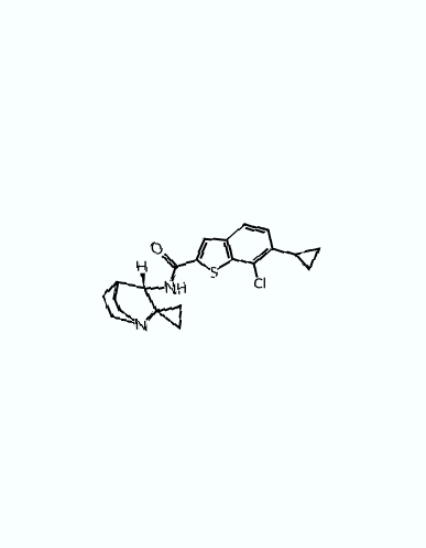 O=C(N[C@H]1C2CCN(CC2)C12CC2)c1cc2ccc(C3CC3)c(Cl)c2s1